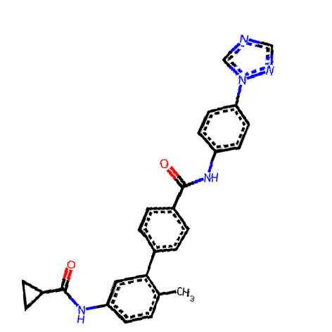 Cc1ccc(NC(=O)C2CC2)cc1-c1ccc(C(=O)Nc2ccc(-n3cncn3)cc2)cc1